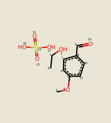 CCO.COc1ccc(C=O)cc1.O=S(=O)(O)O